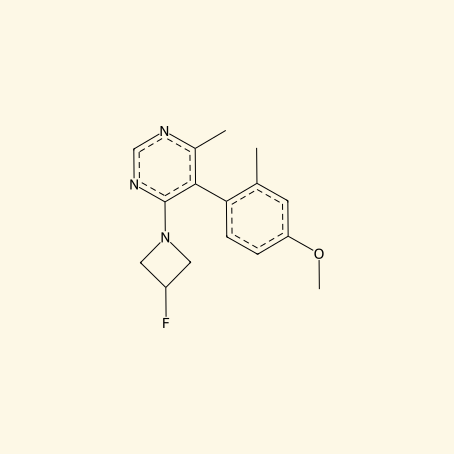 COc1ccc(-c2c(C)ncnc2N2CC(F)C2)c(C)c1